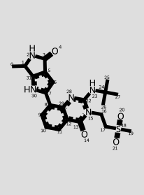 CC1NC(=O)c2cc(-c3cccc4c(=O)n(CCS(C)(=O)=O)c(NC(C)(C)C)nc34)[nH]c21